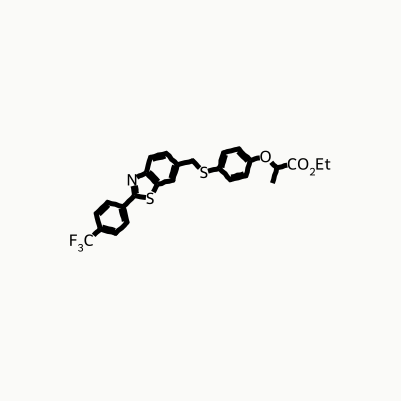 CCOC(=O)C(C)Oc1ccc(SCc2ccc3nc(-c4ccc(C(F)(F)F)cc4)sc3c2)cc1